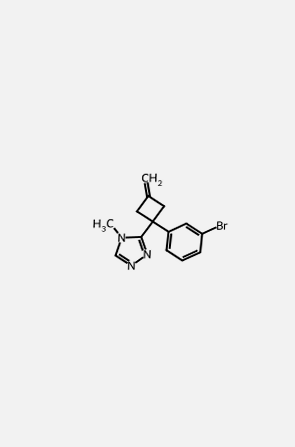 C=C1CC(c2cccc(Br)c2)(c2nncn2C)C1